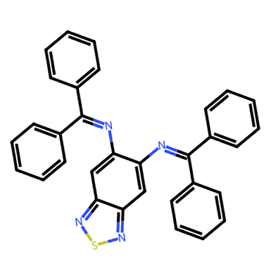 c1ccc(C(=Nc2cc3nsnc3cc2N=C(c2ccccc2)c2ccccc2)c2ccccc2)cc1